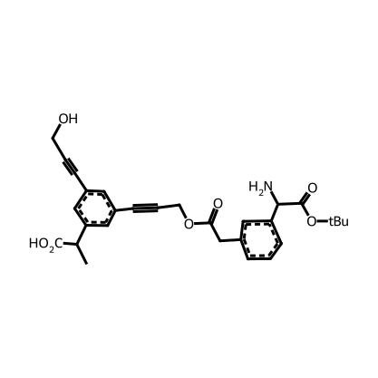 CC(C(=O)O)c1cc(C#CCO)cc(C#CCOC(=O)Cc2cccc(C(N)C(=O)OC(C)(C)C)c2)c1